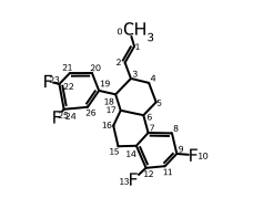 CC=CC1CCC2c3cc(F)cc(F)c3CCC2C1c1ccc(F)c(F)c1